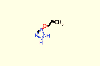 C=CCON1C=NNN1